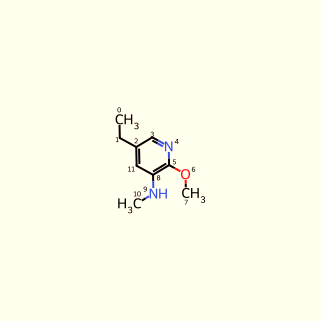 CCc1cnc(OC)c(NC)c1